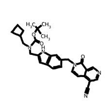 CC(C)(C)OC(=O)N(Cc1cc2ccc(Cn3ccc4c(C#N)cncc4c3=O)cc2[nH]1)CC1CCC1